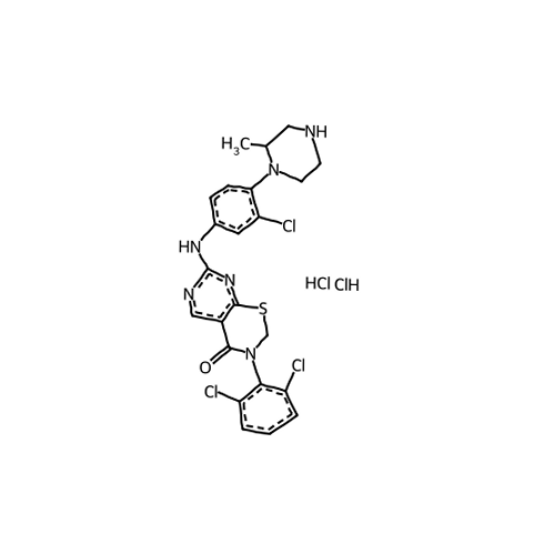 CC1CNCCN1c1ccc(Nc2ncc3c(n2)SCN(c2c(Cl)cccc2Cl)C3=O)cc1Cl.Cl.Cl